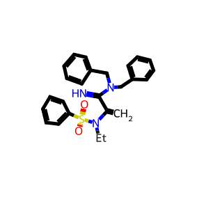 C=C(C(=N)N(Cc1ccccc1)Cc1ccccc1)N(CC)S(=O)(=O)c1ccccc1